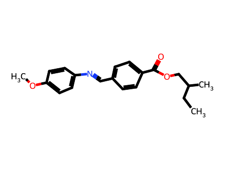 CCC(C)COC(=O)c1ccc(C=Nc2ccc(OC)cc2)cc1